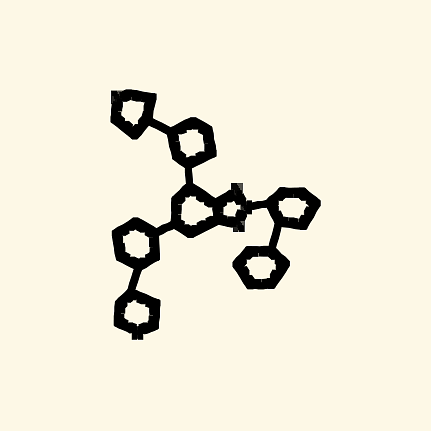 c1ccc(-c2ccccc2-n2nc3cc(-c4cccc(-c5ccncc5)c4)cc(-c4cccc(-c5ccncc5)c4)c3n2)cc1